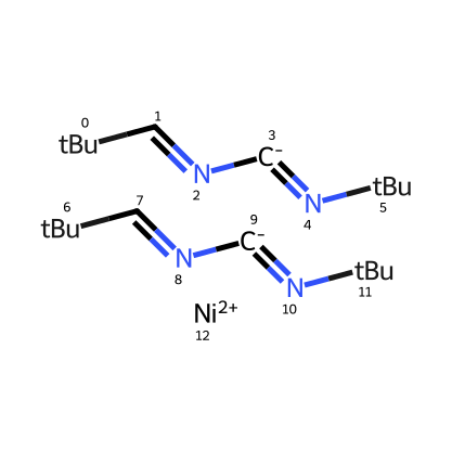 CC(C)(C)C=N[C-]=NC(C)(C)C.CC(C)(C)C=N[C-]=NC(C)(C)C.[Ni+2]